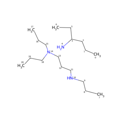 CCCC(N)CC.CCCNCCCN(CCC)CCC